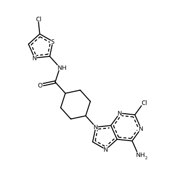 Nc1nc(Cl)nc2c1ncn2C1CCC(C(=O)Nc2ncc(Cl)s2)CC1